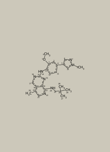 COc1cc(-c2cnn(C)c2)ccc1Nc1ncc2c(C)cnc(NCC(C)(C)C)c2n1